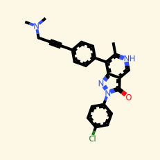 Cc1[nH]cc2c(=O)n(-c3ccc(Cl)cc3)nc-2c1-c1ccc(C#CCN(C)C)cc1